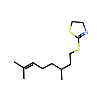 CC(C)=CCCC(C)CCSC1=NCCS1